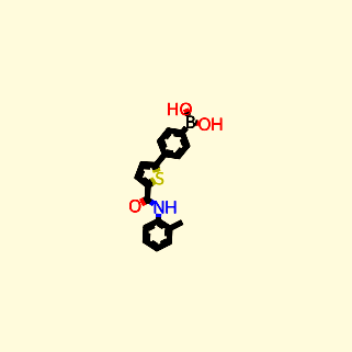 Cc1ccccc1NC(=O)c1ccc(-c2ccc(B(O)O)cc2)s1